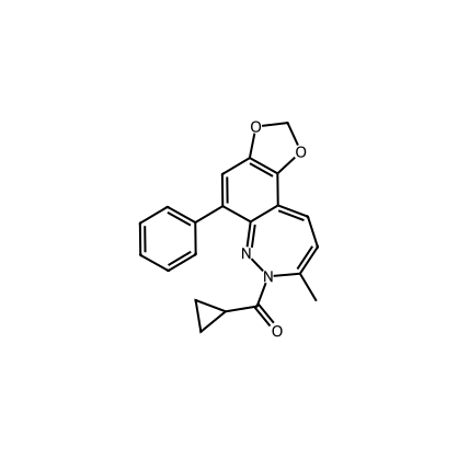 CC1=CC=c2c3c(cc(-c4ccccc4)c2=NN1C(=O)C1CC1)OCO3